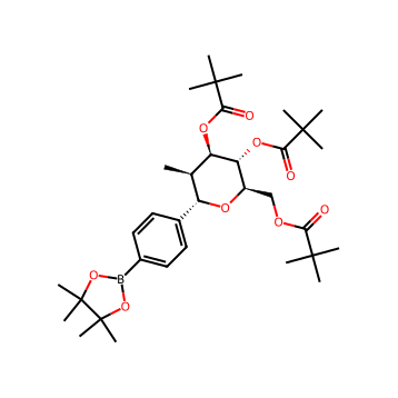 C[C@H]1[C@@H](OC(=O)C(C)(C)C)[C@H](OC(=O)C(C)(C)C)[C@@H](COC(=O)C(C)(C)C)O[C@@H]1c1ccc(B2OC(C)(C)C(C)(C)O2)cc1